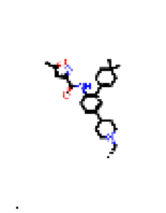 CCN1CCC(C2=CC(C3=CCC(C)(C)CC3)=C(NC(=O)c3cc(C)on3)CC2)CC1